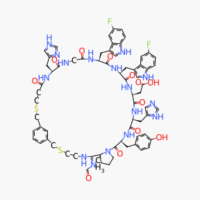 C[C@@]12CCCN1C(=O)[C@H](Cc1ccc(O)cc1)NC(=O)[C@H](Cc1cnc[nH]1)NC(=O)[C@H](CC(=O)O)NC(=O)[C@H](Cc1c[nH]c3ccc(F)cc13)NC(=O)[C@H](Cc1c[nH]c3ccc(F)cc13)NC(=O)CNC(=O)[C@H](Cc1c[nH]cn1)NC(=O)CCSCc1cccc(c1)CSCCN/C2=N\C=O